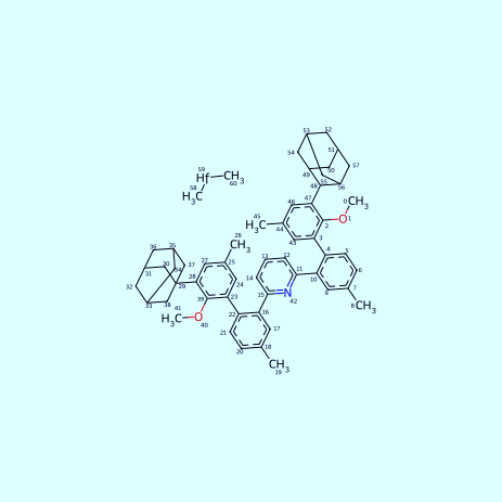 COc1c(-c2ccc(C)cc2-c2cccc(-c3cc(C)ccc3-c3cc(C)cc(C45CC6CC(CC(C6)C4)C5)c3OC)n2)cc(C)cc1C1C2CC3CC(C2)CC1C3.[CH3][Hf][CH3]